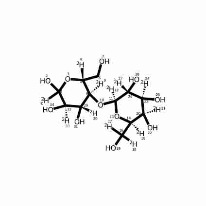 [2H]C1(O)O[C@]([2H])(CO)[C@@]([2H])(O[C@]2([2H])O[C@]([2H])(C([2H])([2H])O)[C@]([2H])(O)[C@]([2H])(O)[C@@]2([2H])O)[C@]([2H])(O)[C@@]1([2H])O